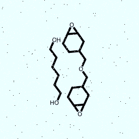 C1CC2OC2CC1COCC1CCC2OC2C1.OCCCCCCO